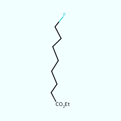 CCOC(=O)CCCCCCCF